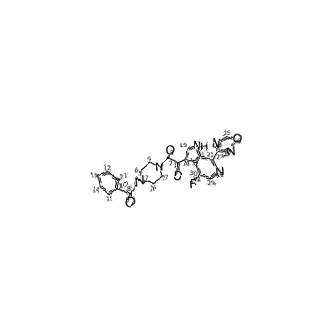 O=C(C(=O)N1CCN(C(=O)c2ccccc2)CC1)c1c[nH]c2c(-c3ncon3)ncc(F)c12